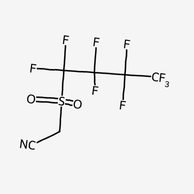 N#CCS(=O)(=O)C(F)(F)C(F)(F)C(F)(F)C(F)(F)F